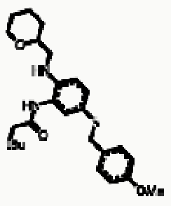 COc1ccc(CSc2ccc(NCC3CCCCO3)c(NC(=O)CC(C)(C)C)c2)cc1